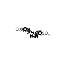 O=C(CCCCC(=O)Oc1ccc(S(=O)(=O)O)cc1)Oc1ccc(S(=O)(=O)O)cc1.[NaH].[NaH]